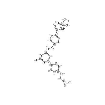 CS(=O)(=O)NC(=O)c1ccc(COc2cc(F)cc(-c3cnc(OCC4CC4)nc3)c2)cc1